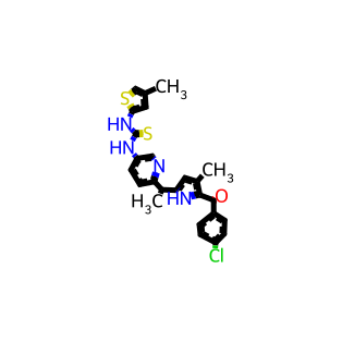 Cc1csc(NC(=S)Nc2ccc(C(C)c3cc(C)c(C(=O)c4ccc(Cl)cc4)[nH]3)nc2)c1